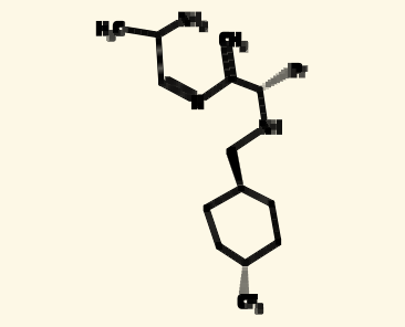 C=C(/N=C\C(C)N)[C@@H](NC[C@H]1CC[C@H](C(F)(F)F)CC1)C(C)C